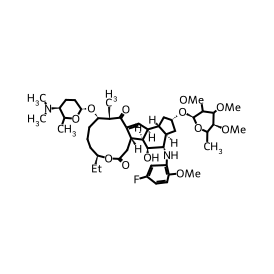 CC[C@H]1CCC[C@H](O[C@H]2CC[C@H](N(C)C)C(C)O2)[C@@H](C)C(=O)C2=C[C@H]3[C@@H]4C[C@H](O[C@@H]5OC(C)[C@H](OC)C(OC)C5OC)C[C@H]4[C@H](Nc4cc(F)ccc4OC)[C@@H](O)[C@H]3[C@@H]2CC(=O)O1